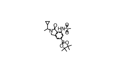 CC(C1CC1)N1Cc2cc(B3OC(C)(C)C(C)(C)O3)cc(NS(C)(=O)=O)c2C1=O